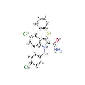 NC(=O)c1c(Sc2ccccc2)c2cc(Cl)ccc2n1Cc1ccc(Cl)cc1